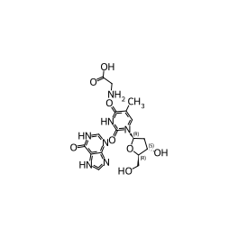 Cc1cn([C@H]2C[C@H](O)[C@@H](CO)O2)c(=O)[nH]c1=O.NCC(=O)O.O=c1[nH]cnc2nc[nH]c12